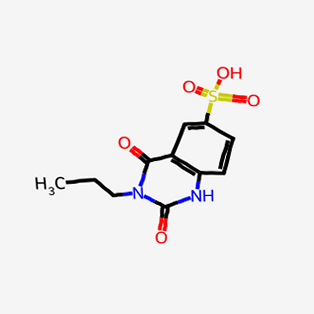 CCCn1c(=O)[nH]c2ccc(S(=O)(=O)O)cc2c1=O